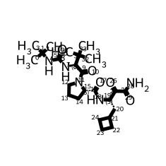 CC(C)(C)NC(=O)N[C@H](C(=O)N1CCC[C@H]1C(=O)N[C@@H](CC1CCC1)C(=O)C(N)=O)C(C)(C)C